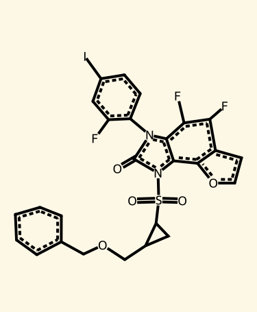 O=c1n(-c2ccc(I)cc2F)c2c(F)c(F)c3ccoc3c2n1S(=O)(=O)C1CC1COCc1ccccc1